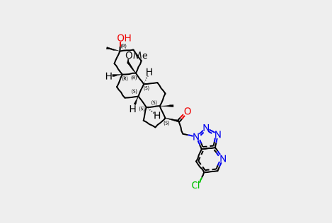 COC[C@]12CC[C@@](C)(O)C[C@H]1CC[C@H]1[C@@H]3CC[C@H](C(=O)Cn4nnc5ncc(Cl)cc54)[C@@]3(C)CC[C@@H]12